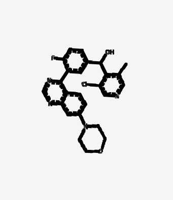 Cc1cncc(Cl)c1C(O)c1ccc(F)c(-c2ncnc3cc(N4CCOCC4)ccc23)c1